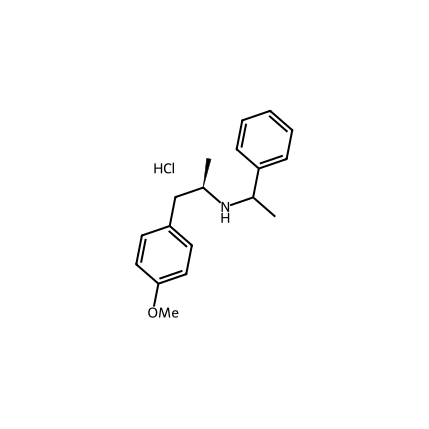 COc1ccc(C[C@@H](C)NC(C)c2ccccc2)cc1.Cl